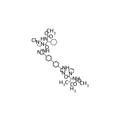 COC(=O)N[C@H](C(=O)N1CC=C[C@H]1c1ncc(-c2ccc(-c3ccc(-c4cnc([C@@H]5CN(Cl)CN5C(=O)[C@@H](NC(=O)OC)C5CCCCC5)[nH]4)cc3)cc2)[nH]1)C(C)C